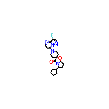 O=C1N2C(CCC2C2CCCC2)OC12CCN(c1ccnc3c(F)cnn13)CC2